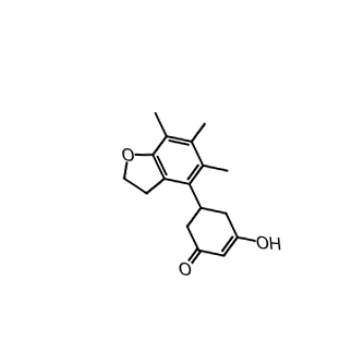 Cc1c(C)c2c(c(C3CC(=O)C=C(O)C3)c1C)CCO2